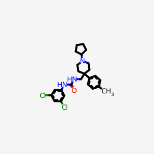 Cc1ccc(C2(CNC(=O)Nc3cc(Cl)cc(Cl)c3)CCN(C3CCCC3)CC2)cc1